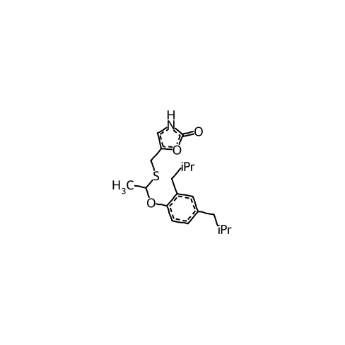 CC(C)Cc1ccc(OC(C)SCc2c[nH]c(=O)o2)c(CC(C)C)c1